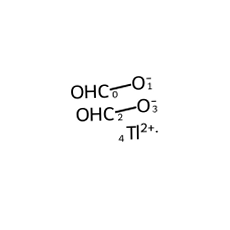 O=C[O-].O=C[O-].[Tl+2]